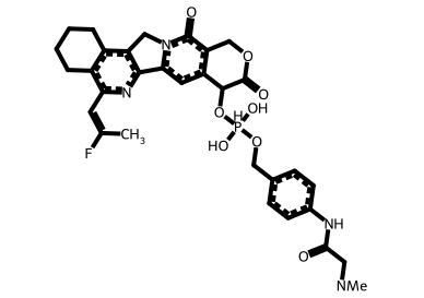 CNCC(=O)Nc1ccc(CO[PH](O)(O)OC2C(=O)OCc3c2cc2n(c3=O)Cc3c-2nc(/C=C(\C)F)c2c3CCCC2)cc1